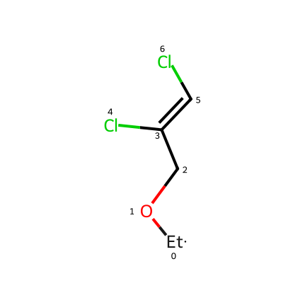 C[CH]OCC(Cl)=CCl